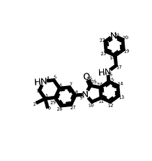 CC1(C)CNCc2cc(N3Cc4cccc(NCc5ccncc5)c4C3=O)ccc21